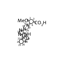 COc1ccc(C(=O)O)cc1N1CCN(c2ncnc3c2[nH]c(=O)n3-c2ccccc2F)CC1